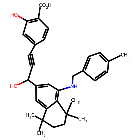 Cc1ccc(CNc2cc(C(O)C#Cc3ccc(C(=O)O)c(O)c3)cc3c2C(C)(C)CCC3(C)C)cc1